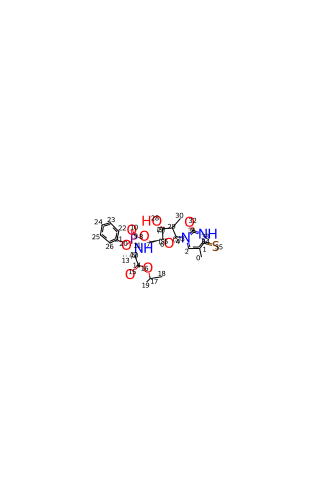 Cc1cn([C@H]2O[C@@H](COP(=O)(N[C@@H](C)C(=O)OC(C)C)Oc3ccccc3)[C@@H](O)C2C)c(=O)[nH]c1=S